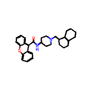 O=C(NC1CCN(CC2CCCC3CCCCC32)CC1)C1c2ccccc2Oc2ccccc21